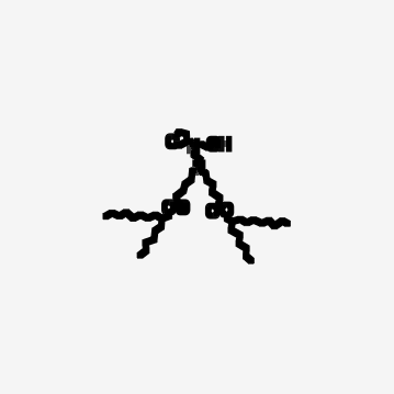 CCCCCCCCC(CCCCCC)COC(=O)CCCCCN(CCCCCC(=O)OCC(CCCCCC)CCCCCCCC)CCN(CCO)[C@@H]1CCOC1